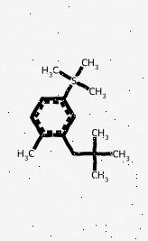 Cc1ccc(S(C)(C)C)cc1CC(C)(C)C